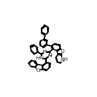 C1=Cc2c(oc3ccc(-c4cccc(-c5ccccc5)c4)c(C4=NC(c5ccccc5)NC(c5cccc6oc7ccccc7c56)=N4)c23)NC1